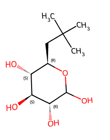 CC(C)(C)C[C@H]1OC(O)[C@H](O)[C@@H](O)[C@@H]1O